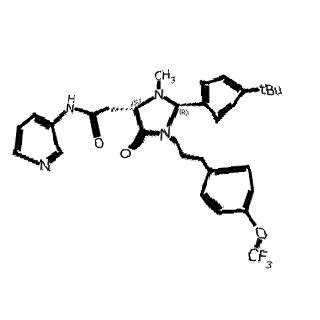 CN1[C@@H](CC(=O)Nc2cccnc2)C(=O)N(CCc2ccc(OC(F)(F)F)cc2)[C@@H]1c1ccc(C(C)(C)C)cc1